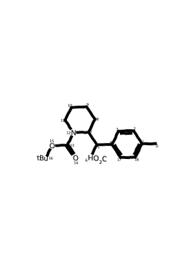 Cc1ccc(C(C(=O)O)C2CCCCN2C(=O)OC(C)(C)C)cc1